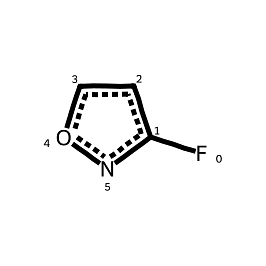 Fc1ccon1